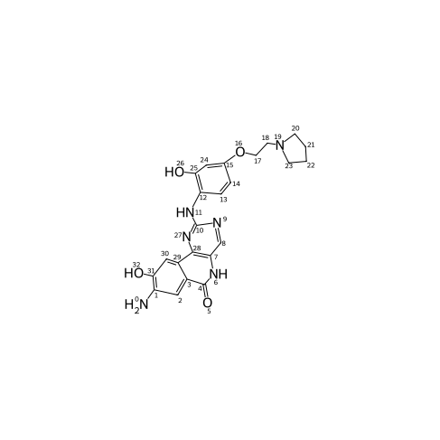 Nc1cc2c(=O)[nH]c3cnc(Nc4ccc(OCCN5CCCC5)cc4O)nc3c2cc1O